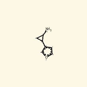 NC1CC1c1ccoc1